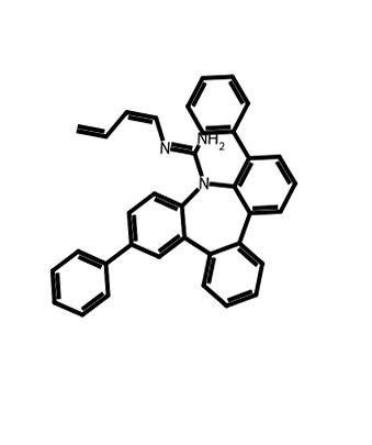 C=C/C=C\N=C(/N)N1c2ccc(-c3ccccc3)cc2-c2ccccc2-c2cccc(-c3ccccc3)c21